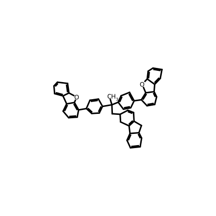 CC(CC1C=CC2=C(C1)c1ccccc1C2)(c1ccc(-c2cccc3c2oc2ccccc23)cc1)c1ccc(-c2cccc3c2oc2ccccc23)cc1